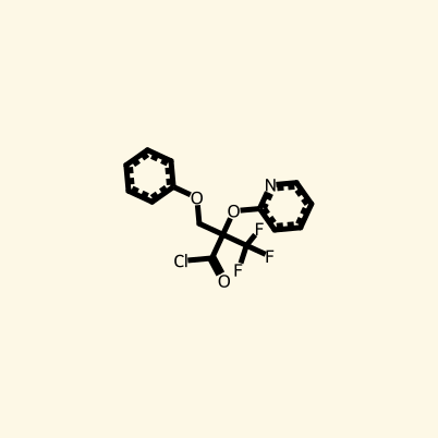 O=C(Cl)C(COc1ccccc1)(Oc1ccccn1)C(F)(F)F